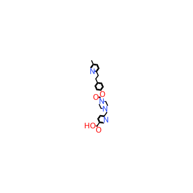 Cc1ccc(CCc2ccc(OC(=O)N3CCN(Cc4ccc(C(=O)O)cn4)CC3)cc2)nc1